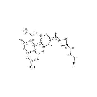 C[C@@H]1Cc2cc(O)ccc2[C@@H](c2c(F)cc(NC3CN(CCCF)C3)cc2F)N1CC(F)(F)F